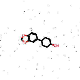 OC1CCC(c2ccc3c(c2)OCO3)CC1